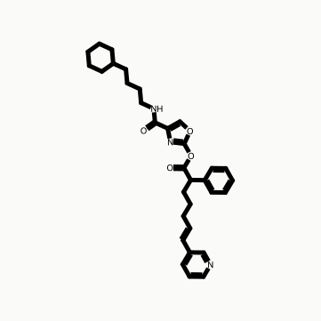 O=C(NCCCCC1CCCCC1)c1coc(OC(=O)C(CCCC=Cc2cccnc2)c2ccccc2)n1